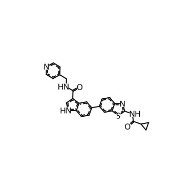 O=C(NCc1ccncc1)c1c[nH]c2ccc(-c3ccc4nc(NC(=O)C5CC5)sc4c3)cc12